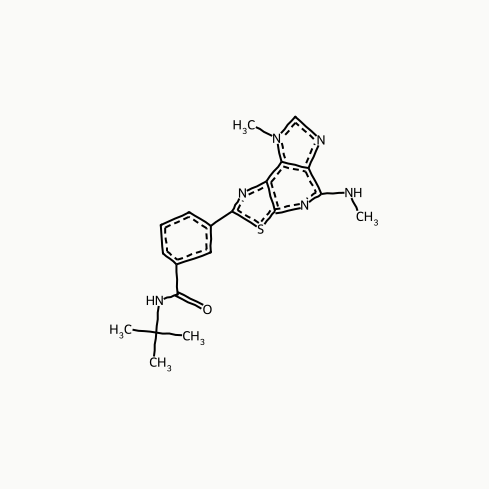 CNc1nc2sc(-c3cccc(C(=O)NC(C)(C)C)c3)nc2c2c1ncn2C